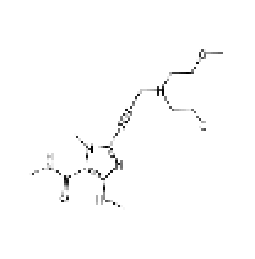 CNC(=O)c1c(NC)nc(C#CCN(CCOC)CCOC)n1C